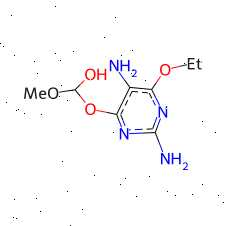 CCOc1nc(N)nc(OC(O)OC)c1N